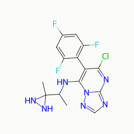 CC(Nc1c(-c2c(F)cc(F)cc2F)c(Cl)nc2ncnn12)C1(C)NN1